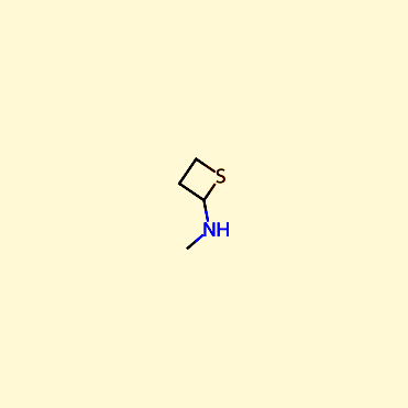 CNC1CCS1